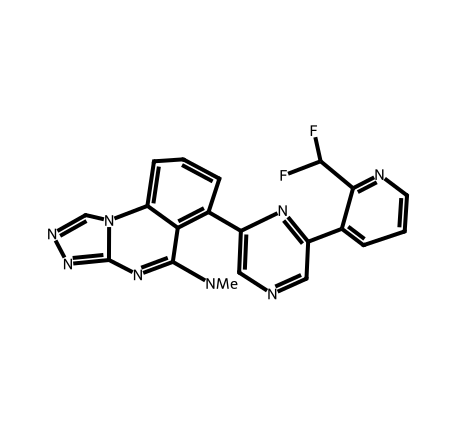 CNc1nc2nncn2c2cccc(-c3cncc(-c4cccnc4C(F)F)n3)c12